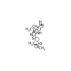 CC(C)Oc1cc2[nH]ncc2cc1Nc1ncnc2sc3c(c12)CCC(C(=O)N1[C@H](C)CC[C@H]1C)C3